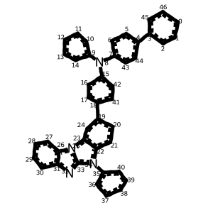 c1ccc(-c2ccc(N(c3ccccc3)c3ccc(-c4ccc5c(c4)n4c6ccccc6nc4n5-c4ccccc4)cc3)cc2)cc1